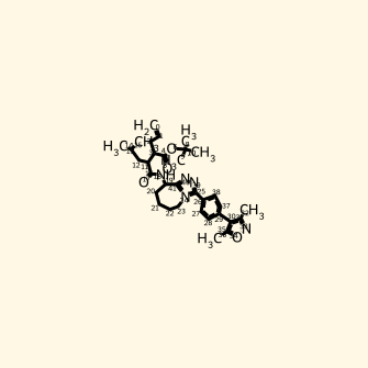 C=CCC(C(=O)OC(C)(C)C)C(CC(C)C)C(=O)NC1CCCCn2c(-c3ccc(-c4c(C)noc4C)cc3)nnc21